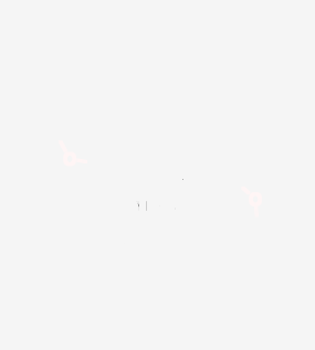 O=S(=O)(O)C1(C2CCCOC2)C=CC=C(C2CCCOC2)C1c1ccccc1